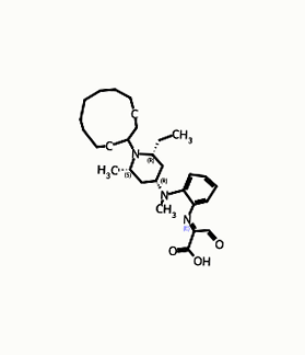 CC[C@@H]1C[C@H](N(C)c2ccccc2/N=C(\C=O)C(=O)O)C[C@H](C)N1C1CCCCCCCCCC1